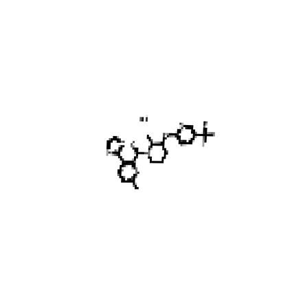 Cc1ccc(-c2ncco2)c(C(=O)N2CCCC(Nc3ccc(C(F)(F)F)cn3)C2C)n1.Cl